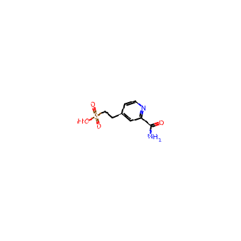 NC(=O)c1cc(CCS(=O)(=O)O)ccn1